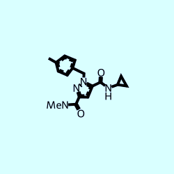 CNC(=O)c1cc(C(=O)NC2CC2)n(Cc2ccc(C)cc2)n1